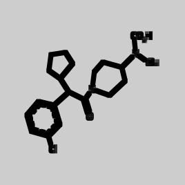 CC(C)(C)N(C(=O)O)C1CCN(C(=O)C(c2cccc(Cl)c2)C2CCCC2)CC1